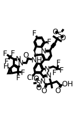 CC(C)(CC(=O)O)C(=O)N(c1nn(CC(F)(F)F)c2c(-c3ccc(C#CC(C)(C)S(C)(=O)=O)nc3[C@H](Cc3cc(F)cc(F)c3)NC(=O)Cn3nc(C(F)(F)F)c4c3C(F)(F)C3C[C@H]43)ccc(Cl)c12)S(C)(=O)=O